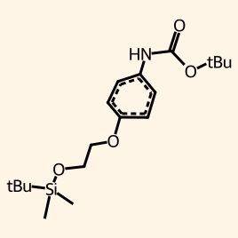 CC(C)(C)OC(=O)Nc1ccc(OCCO[Si](C)(C)C(C)(C)C)cc1